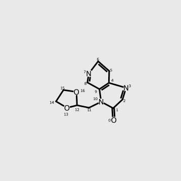 O=c1cnc2ccncc2n1CC1OCCO1